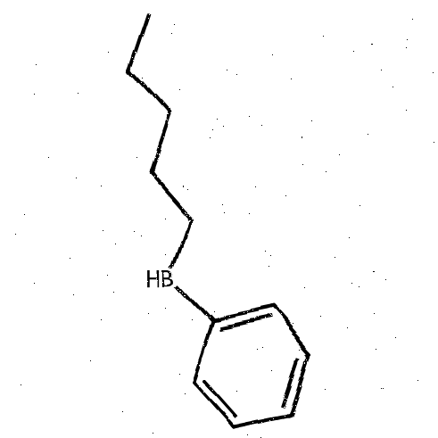 CCCCCBc1ccccc1